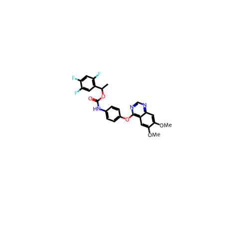 COc1cc2ncnc(Oc3ccc(NC(=O)OC(C)c4cc(F)c(F)cc4F)cc3)c2cc1OC